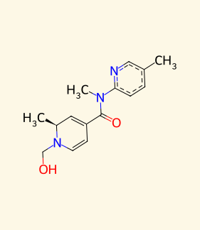 Cc1ccc(N(C)C(=O)C2=C[C@H](C)N(CO)C=C2)nc1